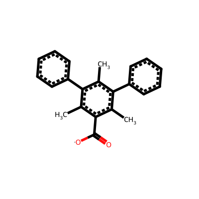 Cc1c(C([O])=O)c(C)c(-c2ccccc2)c(C)c1-c1ccccc1